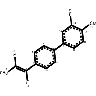 CCCCC(F)=C(F)c1ccc(-c2ccc(C#N)c(F)c2)cc1